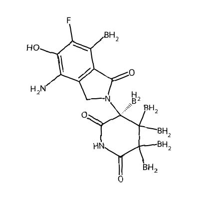 Bc1c(F)c(O)c(N)c2c1C(=O)N([C@]1(B)C(=O)NC(=O)C(B)(B)C1(B)B)C2